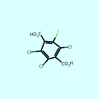 O=C(O)c1c(F)c(Cl)c(C(=O)O)c(Cl)c1Cl